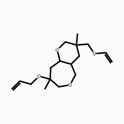 C=CCOC1(C)COCC2CC(C)(COC=C)COC2C1